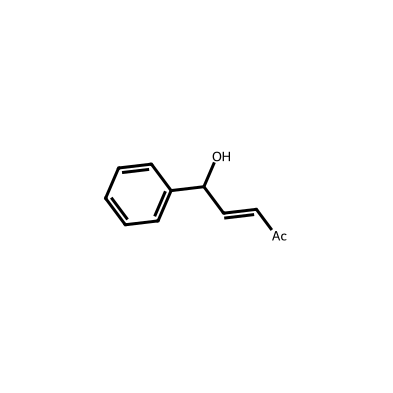 CC(=O)/C=C/C(O)c1ccccc1